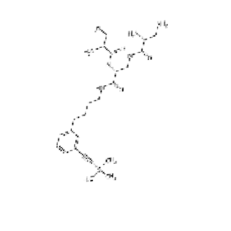 C[Si](C)(C)C#Cc1cccc(CCCCNC(=O)C(CNC(=O)C(N)CN)NC(=O)C(N)CN)c1